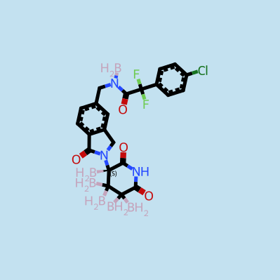 BN(Cc1ccc2c(c1)CN([C@]1(B)C(=O)NC(=O)C(B)(B)C1(B)B)C2=O)C(=O)C(F)(F)c1ccc(Cl)cc1